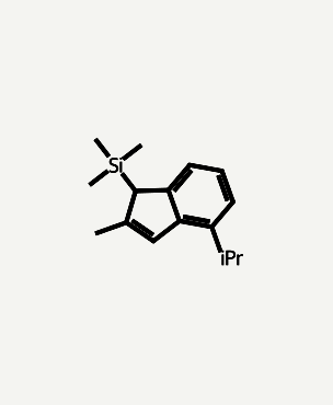 CC1=Cc2c(C(C)C)cccc2C1[Si](C)(C)C